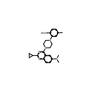 COc1ccc(C)cc1N1CCN(c2nc(C3CC3)nc3ccc(N(C)C)cc23)CC1